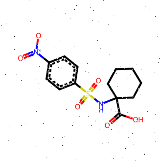 O=C(O)C1(NS(=O)(=O)c2ccc([N+](=O)[O-])cc2)CCCCC1